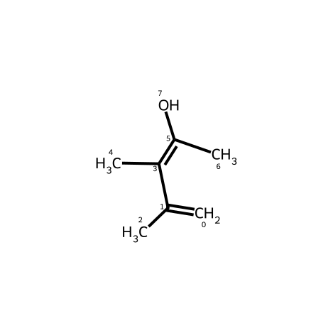 C=C(C)/C(C)=C(\C)O